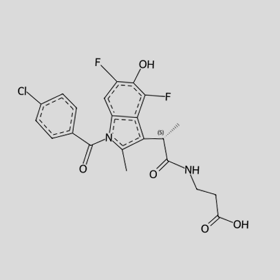 Cc1c([C@H](C)C(=O)NCCC(=O)O)c2c(F)c(O)c(F)cc2n1C(=O)c1ccc(Cl)cc1